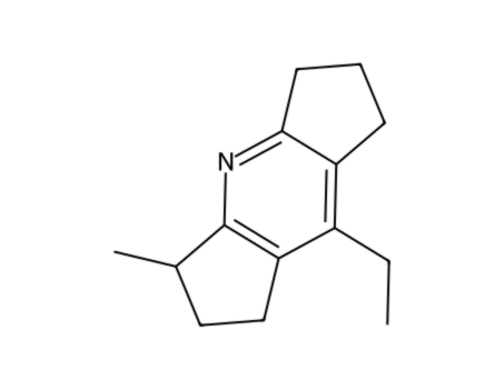 CCc1c2c(nc3c1CCC3C)CCC2